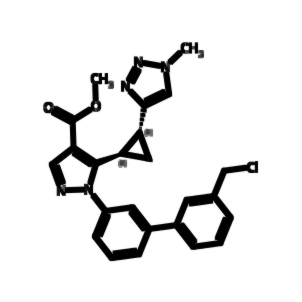 COC(=O)c1cnn(-c2cccc(-c3cccc(CCl)c3)c2)c1[C@@H]1C[C@H]1c1cn(C)nn1